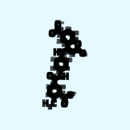 Cc1ccc(C(=O)Nc2ccc(Nc3cc(=O)oc4ccc([N+](=O)[O-])cc34)cc2)cc1[N+](=O)[O-]